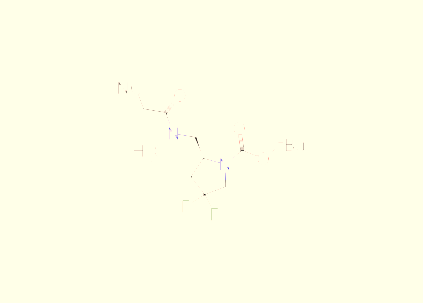 CN(C[C@@H]1CC(F)(F)CN1C(=O)OC(C)(C)C)C(=O)CC#N